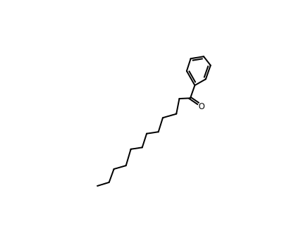 CCCCCCCCCCCC(=O)c1ccccc1